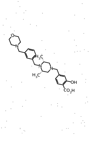 C[C@@H]1CN(Cc2ccc(C(=O)O)c(O)c2)C[C@H](C)N1Cc1cccc(CN2CCOCC2)c1